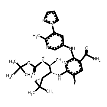 Cc1ncc(Nc2nc(N[C@@H]([C@H](C)NC(=O)OC(C)(C)C)[C@H]3CC3(C)C)c(F)cc2C(N)=O)cc1-n1cccn1